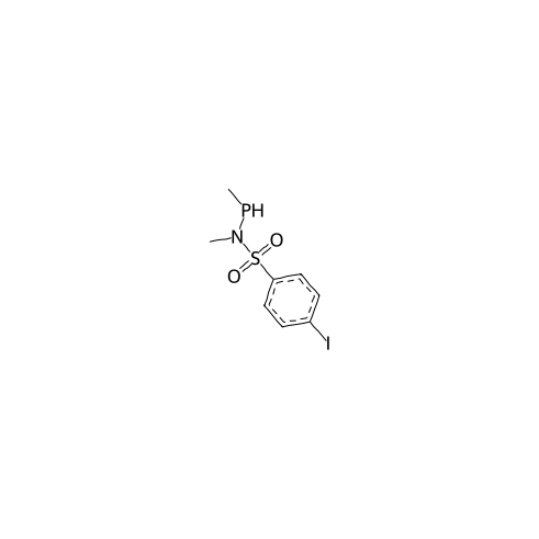 CPN(C)S(=O)(=O)c1ccc(I)cc1